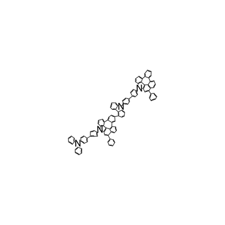 c1ccc(-c2cc3c4c5c(cccc25)-c2ccccc2-c2cccc(c24)n3-c2ccc(-c3ccc(-n4c5ccccc5c5c(-c6ccc7c(c6)-c6cccc8c(-c9ccccc9)cc9c(c68)c6c-7cccc6n9-c6ccc(-c7ccc(N(c8ccccc8)c8ccccc8)cc7)cc6)cccc54)cc3)cc2)cc1